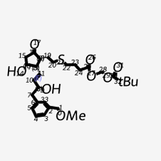 COCc1cccc(C[C@H](O)/C=C/[C@@H]2[C@H](O)CC(=O)[C@@H]2CCSCCCC(=O)OCOC(=O)C(C)(C)C)c1